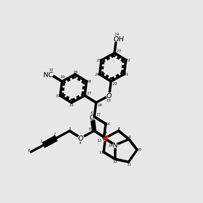 CC#CCOC(=O)N1CC2CCC(C1)N2CCCC(Oc1ccc(O)cc1)c1ccc(C#N)cc1